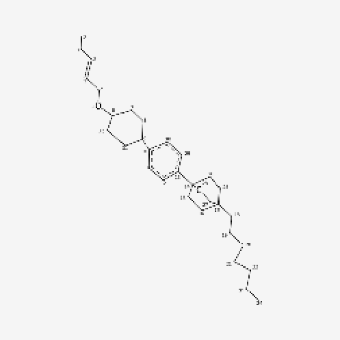 CCC=CCOC1CCC(c2ccc(C34CCC(CCCCCCC)(CC3)CC4)cc2)CC1